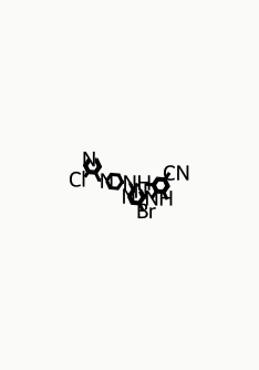 Cc1cc(C#N)cc(C)c1Nc1nc(NC2CCN(Cc3ccncc3Cl)CC2)ncc1Br